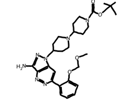 COCOc1ccccc1-c1cc2c(nn1)c(N)nn2C1CCN(C2CCN(C(=O)OC(C)(C)C)CC2)CC1